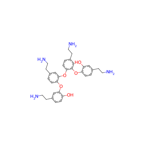 NCCc1ccc(Oc2cc(CCN)ccc2Oc2cc(CCN)ccc2Oc2cc(CCN)ccc2O)c(O)c1